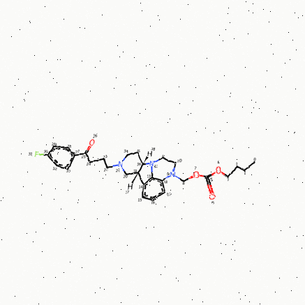 CCCCOC(=O)OCN1CCN2c3c(cccc31)[C@@H]1CN(CCCC(=O)c3ccc(F)cc3)CC[C@@H]12